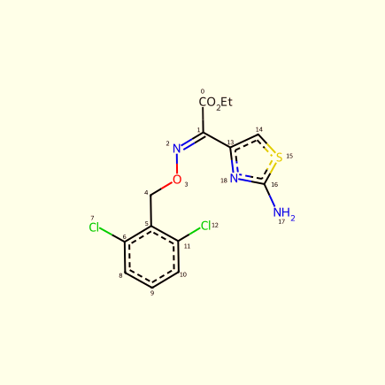 CCOC(=O)C(=NOCc1c(Cl)cccc1Cl)c1csc(N)n1